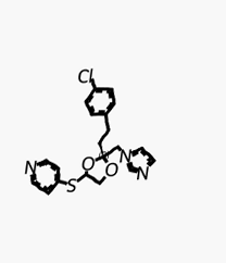 Clc1ccc(CC[C@@]2(Cn3ccnc3)OCC(Sc3ccncc3)O2)cc1